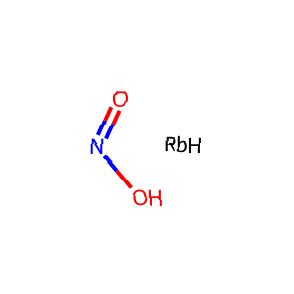 O=NO.[RbH]